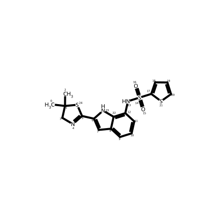 CC1(C)CN=C(c2cc3cccc(NS(=O)(=O)c4cccs4)c3[nH]2)S1